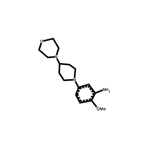 COc1ccc(N2CCC(N3CCOCC3)CC2)cc1N